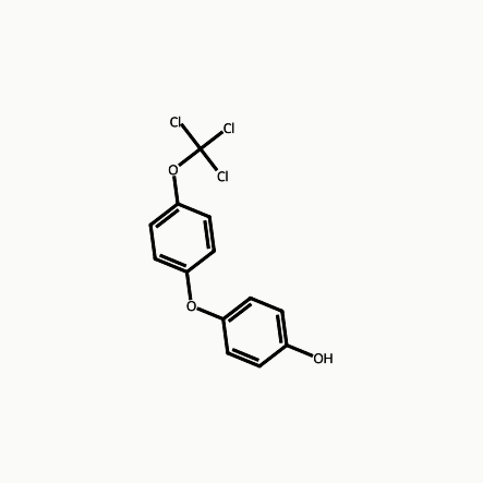 Oc1ccc(Oc2ccc(OC(Cl)(Cl)Cl)cc2)cc1